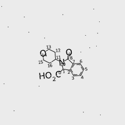 O=C(O)C1c2ccccc2C(=O)N1C1CCOCC1